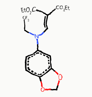 CCOC(=O)C(=CN(CC(F)(F)F)c1ccc2c(c1)OCO2)C(=O)OCC